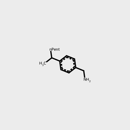 CCCCC[C](C)c1ccc(CN)cc1